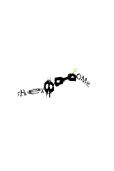 CCCCCCC1CC[C@@H]2C[C@H](c3ccc(-c4ccc(OC)c(F)c4)cc3)CC[C@@H]2C1